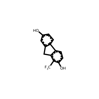 Oc1ccc2c(c1)Cc1c-2ccc(O)c1C(F)(F)F